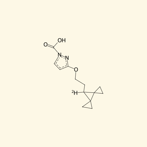 [2H]C1(CCOc2ccn(C(=O)O)n2)C2(CC2)C12CC2